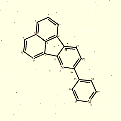 c1cc2c3c(cccc3c1)-c1nc(-c3ccncc3)ccc1-2